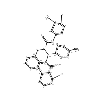 Cc1ccc(NC(=O)[C@H]2Cc3cccc4c5cccc(F)c5c(=O)n(c34)[C@H]2c2ccc(N)cc2)cc1C(F)(F)F